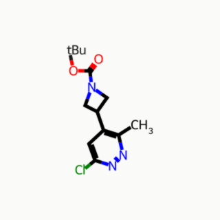 Cc1nnc(Cl)cc1C1CN(C(=O)OC(C)(C)C)C1